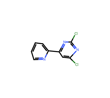 Clc1cc(-c2ccccn2)nc(Cl)n1